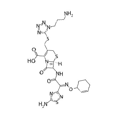 NCCCn1nnnc1SCC1=C(C(=O)O)N2C(=O)C(NC(=O)C(=NOC3C=CCCC3)c3nsc(N)n3)[C@@H]2SC1